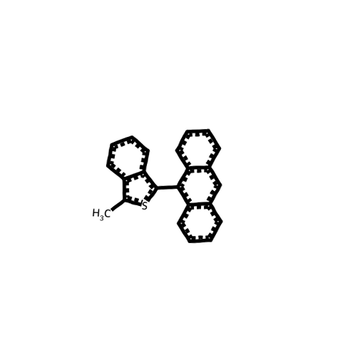 Cc1sc(-c2c3ccccc3cc3ccccc23)c2ccccc12